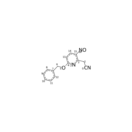 N#CCc1nc(OCc2ccccc2)ccc1N=O